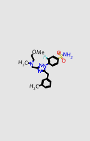 COCCN(C)Cc1nc(Cc2cccc(C)c2)n(-c2ccc(S(N)(=O)=O)cc2F)n1